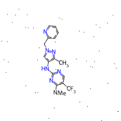 CNc1nc(Nc2cn(Cc3ccccn3)nc2C)ncc1C(F)(F)F